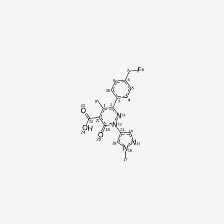 Cc1c(-c2ccc(CF)cc2)nn(-c2cnn(C)c2)c(=O)c1C(=O)O